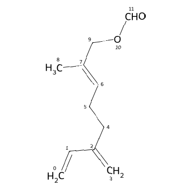 C=CC(=C)CCC=C(C)COC=O